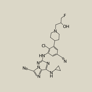 N#Cc1cc(Nc2nc(NC3CC3)c3ncc(C#N)n3n2)c(Cl)c(C2CCN(CC(O)CF)CC2)c1